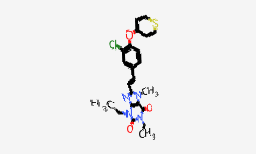 CCn1c(=O)c2c(nc(/C=C/c3ccc(OC4CCSCC4)c(Cl)c3)n2C)n(CC)c1=O